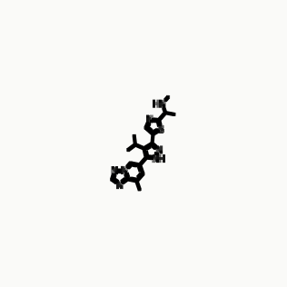 CNC(C)c1ncc(-c2n[nH]c(-c3cc(C)c4ncnn4c3)c2C(C)C)s1